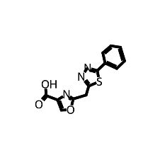 O=C(O)c1coc(Cc2nnc(-c3ccccc3)s2)n1